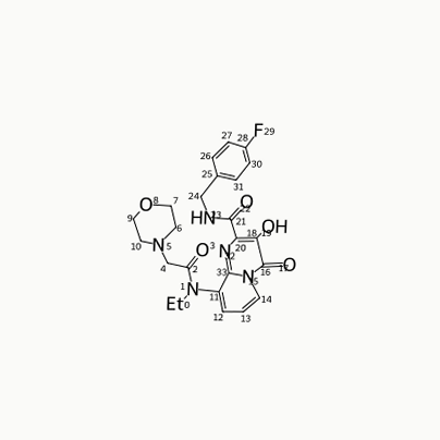 CCN(C(=O)CN1CCOCC1)c1cccn2c(=O)c(O)c(C(=O)NCc3ccc(F)cc3)nc12